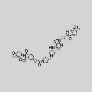 Cc1cccc(C(=O)NC2CC(n3cnc4c(NC5CCN(CC6CCN(C(=O)COc7ccc8c(c7)C(=O)N([C@H]7CCC(=O)NC7=O)C8=O)CC6)CC5)ncnc43)C2)n1